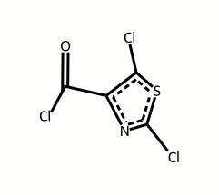 O=C(Cl)c1nc(Cl)sc1Cl